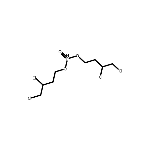 O=[PH](OCCC(Cl)CCl)OCCC(Cl)CCl